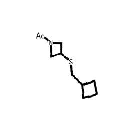 CC(=O)N1CC(SCC2CCC2)C1